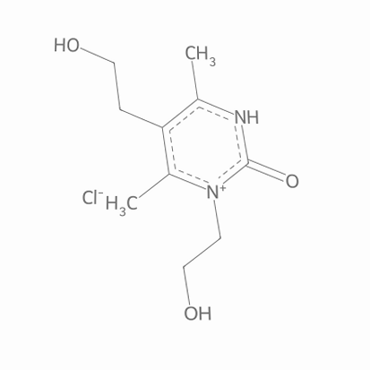 Cc1[nH]c(=O)[n+](CCO)c(C)c1CCO.[Cl-]